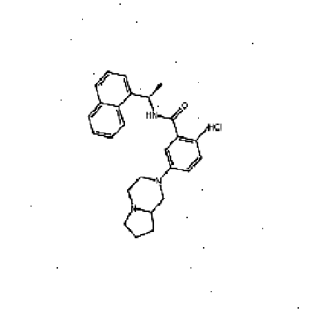 Cc1ccc(N2CCN3CCCC3C2)cc1C(=O)N[C@H](C)c1cccc2ccccc12.Cl